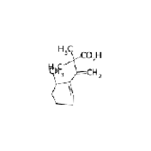 C=C(C1=CCCCC1C)C(C)(C)C(=O)O